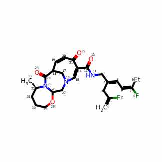 C=C(F)C/C(=C\C=C(\F)CC)CNC(=O)/C1=C/N2CC(C=CC1=O)C(=O)N1C(C2)OCCC[C@H]1C